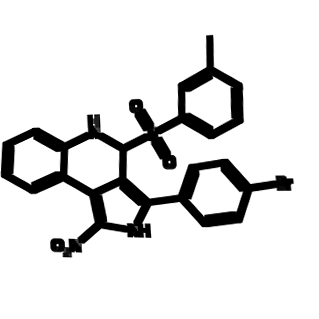 Cc1cccc(S(=O)(=O)C2Nc3ccccc3-c3c([N+](=O)[O-])[nH]c(-c4ccc(Br)cc4)c32)c1